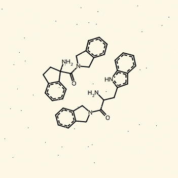 NC(Cc1cc2ccccc2[nH]1)C(=O)N1Cc2ccccc2C1.NC1(C(=O)N2Cc3ccccc3C2)CCc2ccccc21